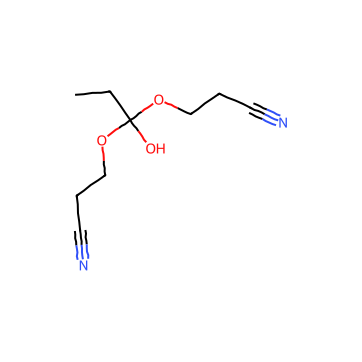 CCC(O)(OCCC#N)OCCC#N